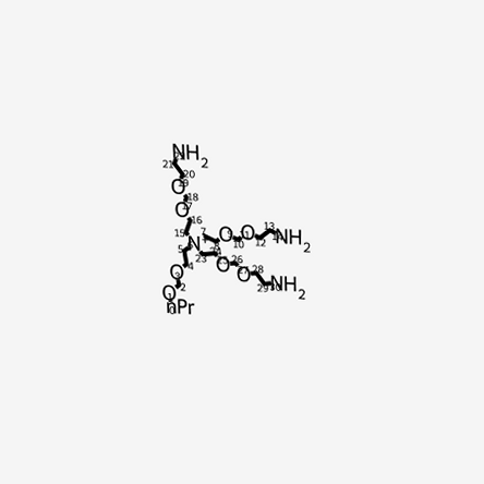 CCCOCOCC[N+](CCOCOCCN)(CCOCOCCN)CCOCOCCN